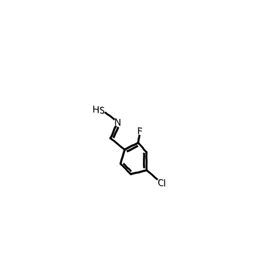 Fc1cc(Cl)ccc1/C=N/S